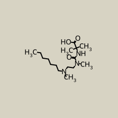 CCCCCCCN(C)CCN(C)C(=O)NC(C)(C)C(=O)O